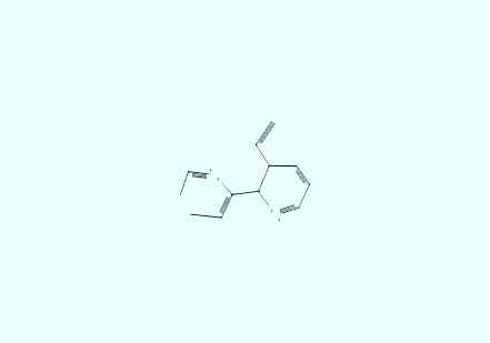 C=CC1C=CC=NC1C(=C/C)/N=C\C